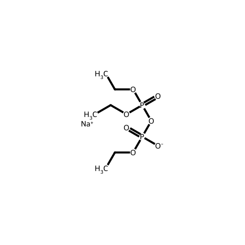 CCOP(=O)([O-])OP(=O)(OCC)OCC.[Na+]